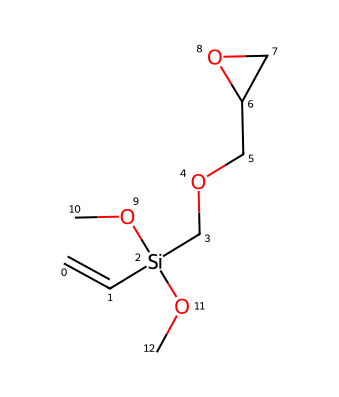 C=C[Si](COCC1CO1)(OC)OC